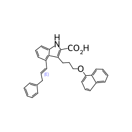 O=C(O)c1[nH]c2cccc(/C=C/Cc3ccccc3)c2c1CCCOc1cccc2ccccc12